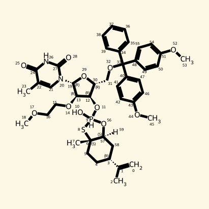 C=C(C)[C@@H]1CC[C@]2(C)S[PH](O)(O[C@H]3[C@@H](OCCOC)[C@H](n4cc(C)c(=O)[nH]c4=O)O[C@@H]3COC(c3ccccc3)(c3ccc(OC)cc3)c3ccc(OC)cc3)O[C@H]2C1